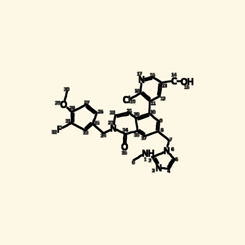 CNc1nccn1Cc1cc(-c2cc(CO)cnc2Cl)c2ccn(Cc3ccc(OC)c(F)c3)c(=O)c2c1